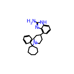 Nc1nc2c(C3CCN(C4(c5ccccc5)CCCCCC4)CC3)cccc2[nH]1